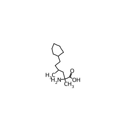 CC(CCC1CCCCC1)CC(C)(N)C(=O)O